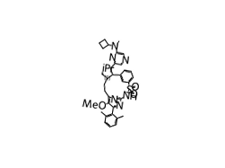 COc1c2nc(nc1-c1c(C)cccc1C)NS(=O)(=O)c1cccc(c1)C(Cc1cncc(N(C)C3CCC3)n1)[C@H](CC(C)C)CC2